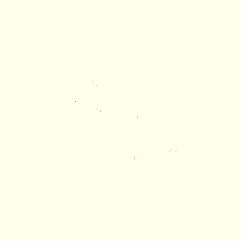 COCc1nc(-c2ccnc(N)n2)cn1C(C)C